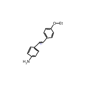 CCOc1ccc(/C=C/c2ccc(N)cc2)cc1